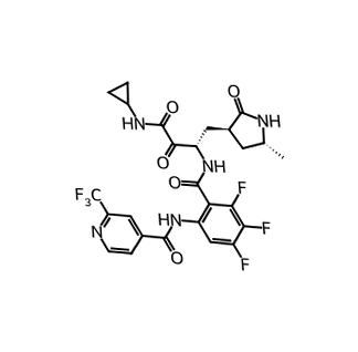 C[C@@H]1C[C@@H](C[C@H](NC(=O)c2c(NC(=O)c3ccnc(C(F)(F)F)c3)cc(F)c(F)c2F)C(=O)C(=O)NC2CC2)C(=O)N1